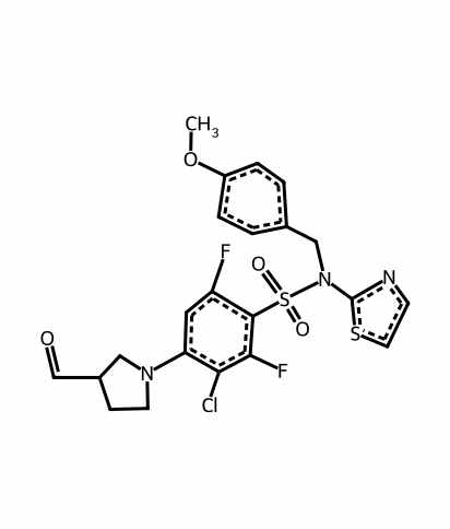 COc1ccc(CN(c2nccs2)S(=O)(=O)c2c(F)cc(N3CCC(C=O)C3)c(Cl)c2F)cc1